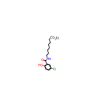 CCOC(=O)CCCCCCCNC(=O)c1cc(Cl)ccc1O